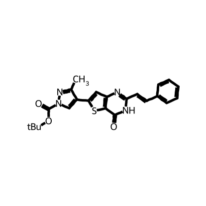 Cc1nn(C(=O)OC(C)(C)C)cc1-c1cc2nc(C=Cc3ccccc3)[nH]c(=O)c2s1